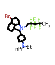 CCCN(CC)c1ccc(C2=[N+](CCC(F)(F)C(F)(F)C(F)(F)C(F)(F)F)c3ccc(Br)c4cccc2c34)cc1